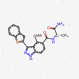 COc1c(C(=O)N[C@@H](C)C(N)=O)ccc2[nH]nc(-c3cc4ccccc4s3)c12